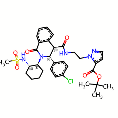 CC(C)(C)OC(=O)c1ccnn1CCNC(=O)[C@@H]1c2ccccc2C(=O)N([C@H]2CCCC[C@@H]2NS(C)(=O)=O)[C@H]1c1ccc(Cl)cc1